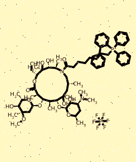 CC[C@H]1OC(=O)[C@H](C)[C@@H](O[C@H]2C[C@@](C)(OC)[C@@H](O)[C@H](C)O2)[C@H](C)[C@@H](O[C@@H]2O[C@H](C)C[C@H](N(C)C)[C@H]2O)[C@](C)(O)C[C@@H](C)CN(C(=O)CCCCCCC[P+](c2ccccc2)(c2ccccc2)c2ccccc2-c2ccccc2)[C@H](C)[C@@H](O)[C@]1(C)O.F[P-](F)(F)(F)(F)F